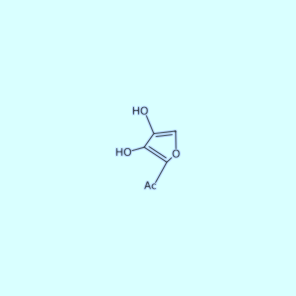 CC(=O)c1occ(O)c1O